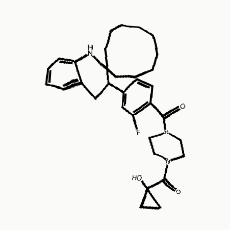 O=C(c1ccc(C2Cc3ccccc3NC23CCCCCCCCC3)cc1F)N1CCN(C(=O)C2(O)CC2)CC1